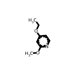 CCOc1ccnc(OC)c1